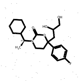 C[C@@H](C1CCCCC1)N1CCC(CC(O)CO)(c2ccc(F)cc2)OC1=O